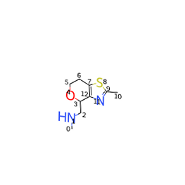 CNCC1OCCc2sc(C)nc21